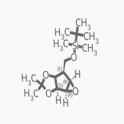 CC1(C)OC2[C@@H](CO[Si](C)(C)C(C)(C)C)[C@H]3O[C@H]3[C@H]2O1